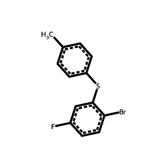 Cc1ccc(Sc2cc(F)ccc2Br)cc1